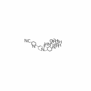 [2H]C([2H])([2H])C([2H])([2H])c1nc2ccc(CN3CC=C(c4ccc(C#N)cn4)CC3)c(F)c2[nH]c1=O